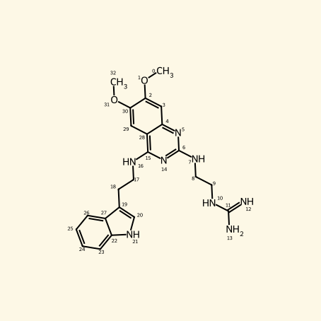 COc1cc2nc(NCCNC(=N)N)nc(NCCc3c[nH]c4ccccc34)c2cc1OC